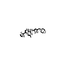 Cc1cn2c(-c3nccs3)cnc2c(Nc2cc(CN3CCOCC3)ns2)n1